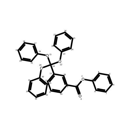 O=C(Oc1ccccc1)c1cccc(C(Oc2ccccc2)(Oc2ccccc2)Oc2ccccc2)c1